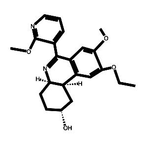 CCOc1cc2c(cc1OC)C(c1cccnc1OC)=N[C@@H]1CC[C@@H](O)C[C@H]21